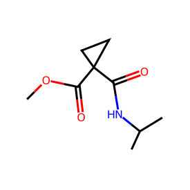 COC(=O)C1(C(=O)NC(C)C)CC1